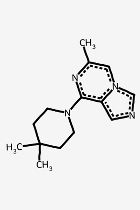 Cc1cn2cncc2c(N2CCC(C)(C)CC2)n1